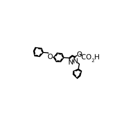 O=C(O)Oc1cc(-c2ccc(OCc3ccccc3)cc2)nn1Cc1ccccc1